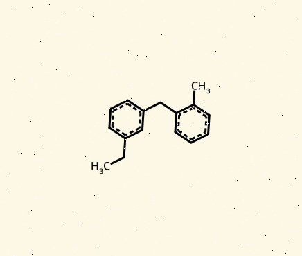 CCc1cccc(Cc2ccccc2C)c1